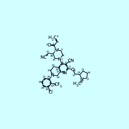 C=CC(=O)N1CCN(c2c(C#N)c(OCC3CCCN3C)nc3c2CCN(c2cccc(Cl)c2C(F)(F)F)C3)CC1CC#N